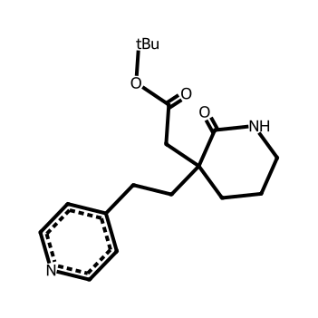 CC(C)(C)OC(=O)CC1(CCc2ccncc2)CCCNC1=O